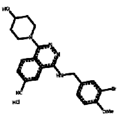 COc1ccc(CNc2nnc(N3CCC(O)CC3)c3ccc(C#N)cc23)cc1Br.Cl